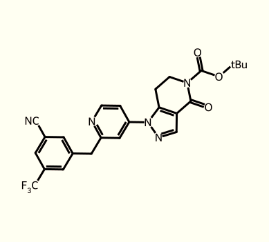 CC(C)(C)OC(=O)N1CCc2c(cnn2-c2ccnc(Cc3cc(C#N)cc(C(F)(F)F)c3)c2)C1=O